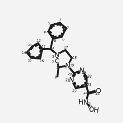 CC1CN(C(c2ccccc2)c2ccccc2)CCN1c1ncc(C(=O)NO)cn1